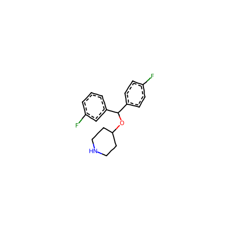 Fc1ccc(C(OC2CCNCC2)c2cccc(F)c2)cc1